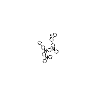 c1ccc(-c2ccc(N(c3cccc(N(c4ccccc4)c4ccccc4)c3)c3ccc4c(c3)c3cc(-c5ccc6sc7ccccc7c6c5)ccc3n4-c3ccccc3)cc2)cc1